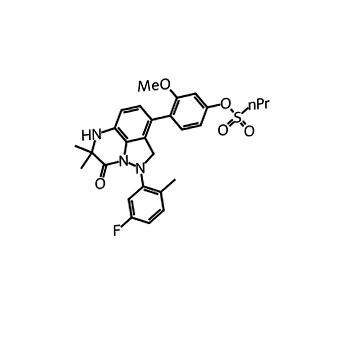 CCCS(=O)(=O)Oc1ccc(-c2ccc3c4c2CN(c2cc(F)ccc2C)N4C(=O)C(C)(C)N3)c(OC)c1